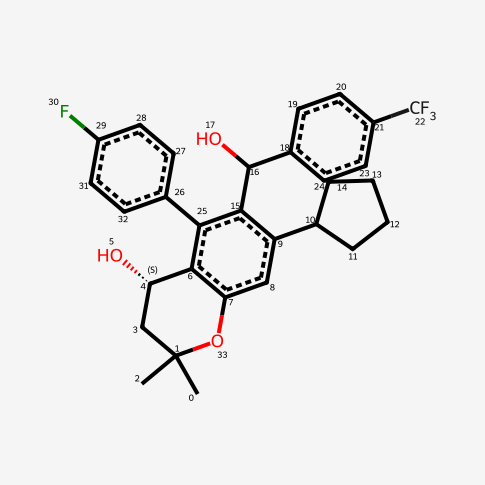 CC1(C)C[C@H](O)c2c(cc(C3CCCC3)c(C(O)c3ccc(C(F)(F)F)cc3)c2-c2ccc(F)cc2)O1